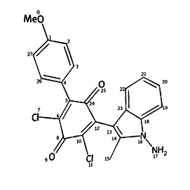 COc1ccc(C2=C(Cl)C(=O)C(Cl)=C(c3c(C)n(N)c4ccccc34)C2=O)cc1